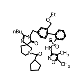 CCCCC1=NC2(CCCN(C(=O)C3CCCC3)C2)C(=O)N1Cc1ccc(-c2ccccc2S(=O)(=O)Nc2noc(C)c2C)c(COCC)c1